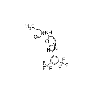 CCCN(C=O)NC(=O)/C=C\n1cnc(-c2cc(C(F)(F)F)cc(C(F)(F)F)c2)n1